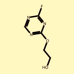 OCCOc1n[c]nc(F)n1